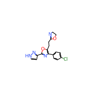 Clc1ccc(-c2nc(-c3cc[nH]n3)oc2CCC2=NCCO2)cc1